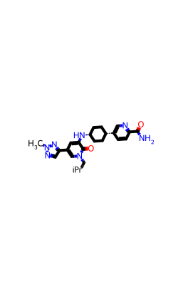 CC(C)Cn1cc(-c2cnn(C)n2)cc(N[C@H]2CC[C@@H](c3ccc(C(N)=O)nc3)CC2)c1=O